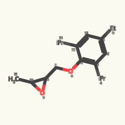 CCc1cc(C(C)C)c(OCC2OC2C)c(C(C)C)c1